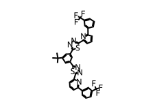 CC(C)(C)c1cc(-c2nnc(-c3cccc(-c4cccc(C(F)(F)F)c4)n3)s2)cc(-c2nnc(-c3cccc(-c4cccc(C(F)(F)F)c4)n3)s2)c1